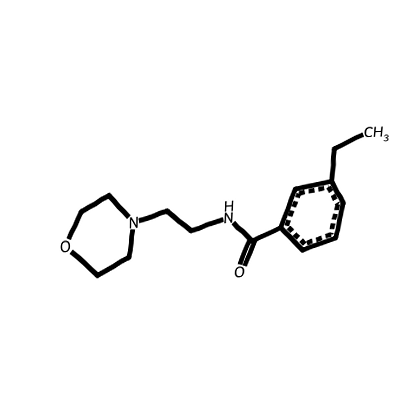 CCc1cccc(C(=O)NCCN2CCOCC2)c1